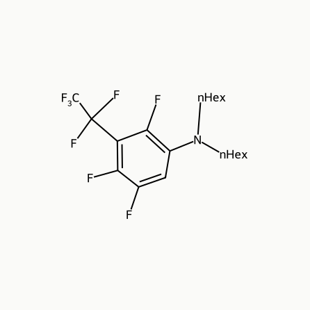 CCCCCCN(CCCCCC)c1cc(F)c(F)c(C(F)(F)C(F)(F)F)c1F